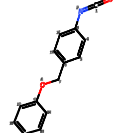 O=C=Nc1ccc(COc2ccccc2)cc1